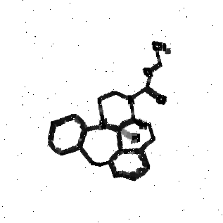 CCOC(=O)N1CCN2c3ccccc3Cc3cccc4c3[C@@H]2[C@H]1CC4